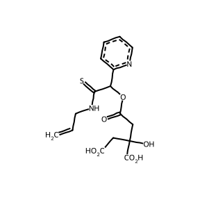 C=CCNC(=S)C(OC(=O)CC(O)(CC(=O)O)C(=O)O)c1ccccn1